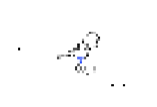 CC(C)[C@@H](C=O)N(Cc1ccccc1)C(=O)O